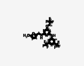 Cc1ccc(CNc2nc(Nc3cc(C(F)(F)F)cc(C(F)(F)F)c3)nc(OCC(F)(F)F)n2)o1